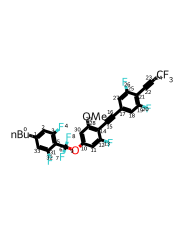 CCCCc1cc(F)c(C(F)(F)Oc2cc(F)c(C#Cc3cc(F)c(C#CC(F)(F)F)c(F)c3)c(OC)c2)c(F)c1